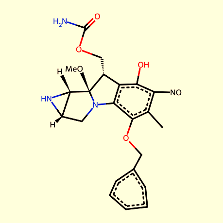 CO[C@@]12[C@H](COC(N)=O)c3c(O)c(N=O)c(C)c(OCc4ccccc4)c3N1C[C@@H]1N[C@@H]12